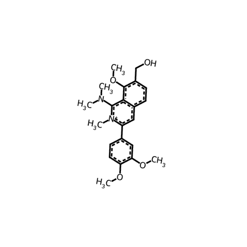 COc1ccc(-c2cc3ccc(CO)c(OC)c3c(N(C)C)[n+]2C)cc1OC